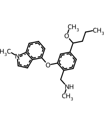 CCCC(OC)c1ccc(CNC)c(Oc2cccc3c2ccn3C)c1